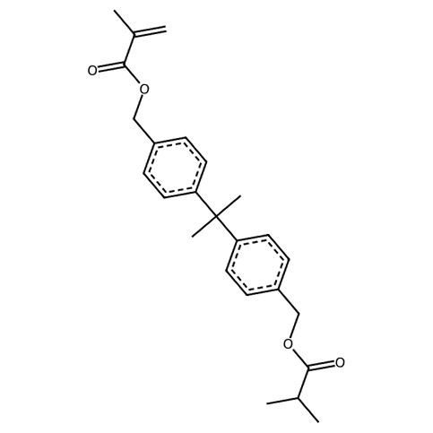 C=C(C)C(=O)OCc1ccc(C(C)(C)c2ccc(COC(=O)C(C)C)cc2)cc1